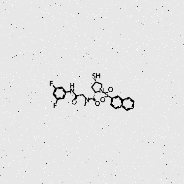 CN(CC(=O)Nc1cc(F)cc(F)c1)C(=O)[C@@H]1C[C@@H](S)CN1S(=O)(=O)c1ccc2ccccc2c1